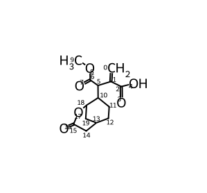 C=C(C(=O)O)C(C(=O)OC)C1CCC2CC(=O)OC1C2